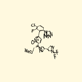 COCC[C@H](c1ccc(-c2c(-n3cnnn3)ccc(Cl)c2F)c[n+]1[O-])n1cc(-c2cnn(C(F)F)c2)cn1